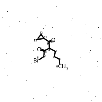 CCCCC(C(=O)CBr)C(=O)C1CC1